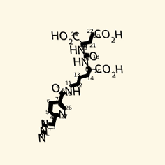 [N-]=[N+]=NCc1ccc(C(=O)NCCCC[C@H](NC(=O)N[C@@H](CCC(=O)O)C(=O)O)C(=O)O)cn1